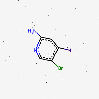 Nc1cc(I)c(Br)cn1